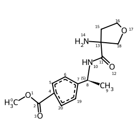 COC(=O)c1ccc([C@H](C)NC(=O)C2(N)CCOC2)cc1